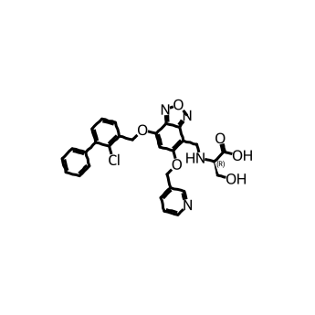 O=C(O)[C@@H](CO)NCc1c(OCc2cccnc2)cc(OCc2cccc(-c3ccccc3)c2Cl)c2nonc12